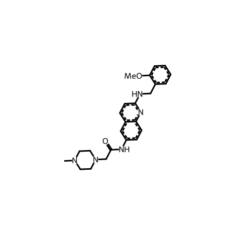 COc1ccccc1CNc1ccc2cc(NC(=O)CN3CCN(C)CC3)ccc2n1